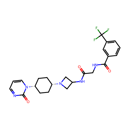 O=C(CNC(=O)c1cccc(C(F)(F)F)c1)NC1CN([C@H]2CC[C@@H](n3cccnc3=O)CC2)C1